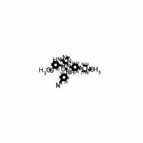 COc1ccc(Nc2cc(N(C(=O)Nc3ccc(C#N)cc3)c3ccc(N4CCN(C)CC4)cc3)ncn2)c(I)c1